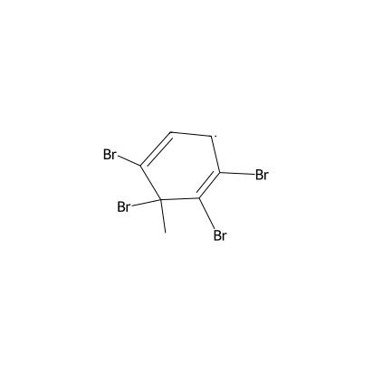 CC1(Br)C(Br)=C[CH]C(Br)=C1Br